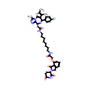 Cc1sc2c(c1C)C(c1ccc(Cl)cc1)=N[C@@H](CC(=O)NCCCCCCCCNC(=O)COc1cccc3c1C(=O)N(C1CCC(=O)NC1=O)C3)c1nnc(C)n1-2